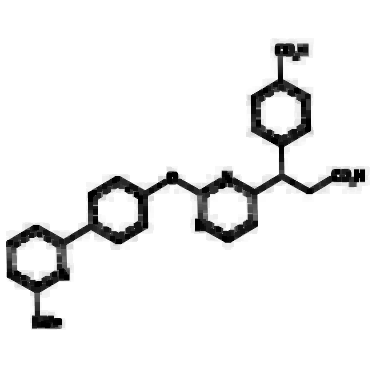 CNc1cccc(-c2ccc(Oc3nccc(C(CC(=O)O)c4ccc(C(=O)O)cc4)n3)cc2)n1